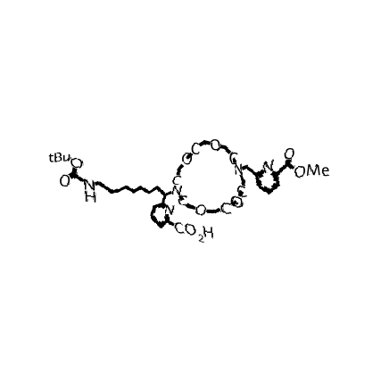 COC(=O)c1cccc(CN2CCOCCOCCN(C(CCCCCCCNC(=O)OC(C)(C)C)c3cccc(C(=O)O)n3)CCOCCOCC2)n1